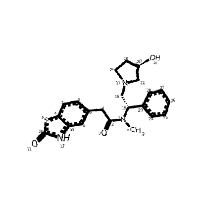 CN(C(=O)Cc1ccc2sc(=O)[nH]c2c1)[C@H](CN1CC[C@@H](O)C1)c1ccccc1